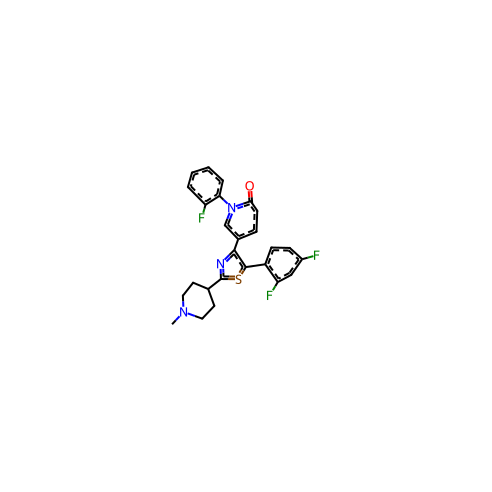 CN1CCC(c2nc(-c3ccc(=O)n(-c4ccccc4F)c3)c(-c3ccc(F)cc3F)s2)CC1